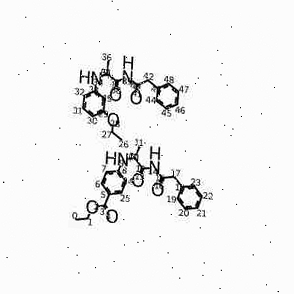 CCOC(=O)c1ccc(N[C@@H](C)C(=O)NC(=O)Cc2ccccc2)cc1.CCOc1cccc(N[C@@H](C)C(=O)NC(=O)Cc2ccccc2)c1